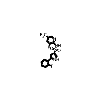 O=S(=O)(Nc1ncc(C(F)(F)F)cc1F)c1c[nH]c(-c2ccccc2F)c1